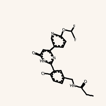 CCC(=O)NCc1ccc(Cl)c(-c2nc(-c3ccc(OC(F)F)nc3)cc(=O)[nH]2)c1